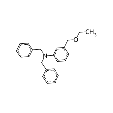 CCOCc1cccc(N(Cc2ccccc2)Cc2ccccc2)c1